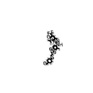 Cc1cc(S(=O)(=O)CCCOC2CCC(C=O)CC2)ccc1Nc1ncc2cc(C(F)F)c(=O)n(C(C)C)c2n1